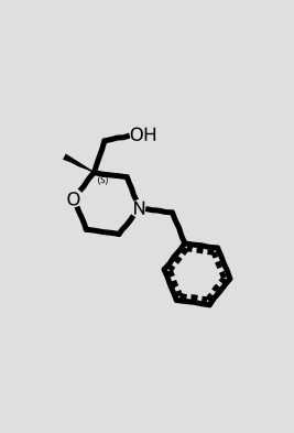 C[C@@]1(CO)CN(Cc2ccccc2)CCO1